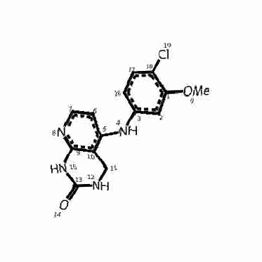 COc1cc(Nc2ccnc3c2CNC(=O)N3)ccc1Cl